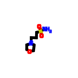 NS(=O)(=O)CCCN1CCOCC1